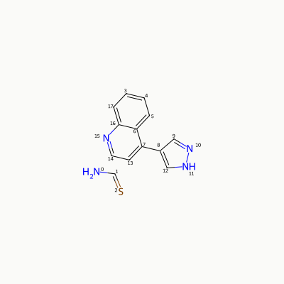 NC=S.c1ccc2c(-c3cn[nH]c3)ccnc2c1